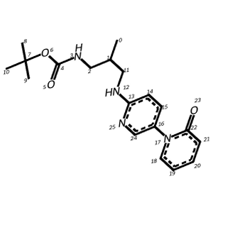 CC(CNC(=O)OC(C)(C)C)CNc1ccc(-n2ccccc2=O)cn1